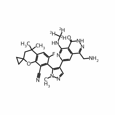 [2H]C([2H])([2H])Nc1nc(-c2cnn(C)c2-c2c(F)cc3c(c2C#N)OC2(CC2)CC3(C)C)cc2c(CN)n[nH]c(=O)c12